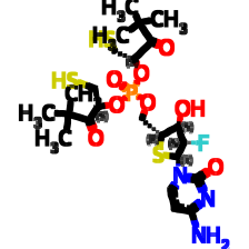 CC(C)(C)C(=O)[C@@H](CS)OP(=O)(OC[C@H]1S[C@@H](n2ccc(N)nc2=O)[C@@H](F)[C@@H]1O)O[C@H](CS)C(=O)C(C)(C)C